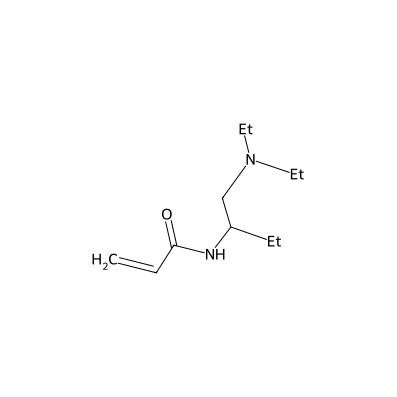 C=CC(=O)NC(CC)CN(CC)CC